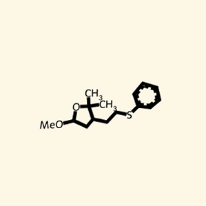 COC1CC(CCSc2ccccc2)C(C)(C)O1